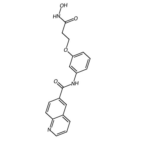 O=C(CCOc1cccc(NC(=O)c2ccc3ncccc3c2)c1)NO